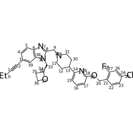 CCC#Cc1ccc2nc(CN3CCC(c4cccc(OCc5ccc(Cl)cc5F)n4)CC3)n(C[C@@H]3CCO3)c2c1